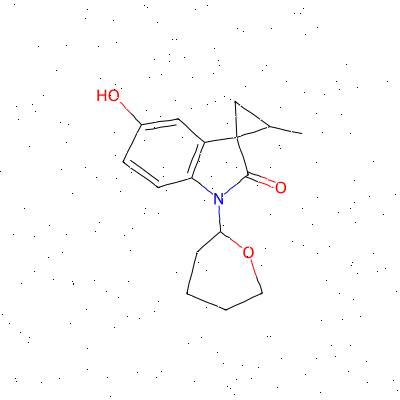 CC1CC12C(=O)N(C1CCCCO1)c1ccc(O)cc12